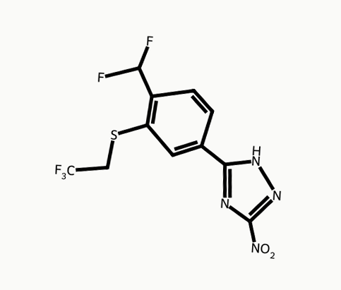 O=[N+]([O-])c1n[nH]c(-c2ccc(C(F)F)c(SCC(F)(F)F)c2)n1